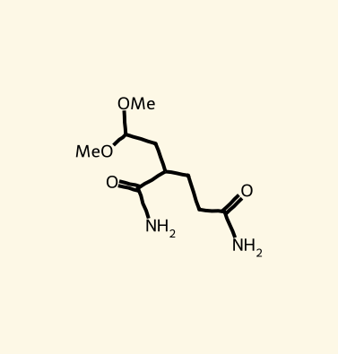 COC(CC(CCC(N)=O)C(N)=O)OC